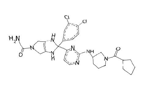 NC(=O)N1CC2=C(C1)NC(c1ccc(Cl)c(Cl)c1)(c1ccnc(NC3CCCN(C(=O)C4CCCC4)C3)n1)N2